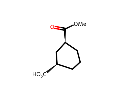 COC(=O)[C@H]1CCC[C@@H](C(=O)O)C1